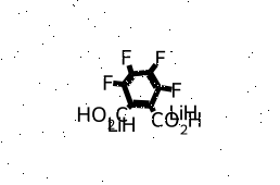 O=C(O)c1c(F)c(F)c(F)c(F)c1C(=O)O.[LiH].[LiH]